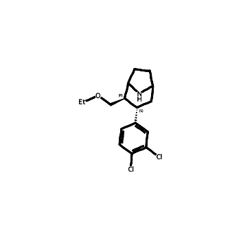 CCOC[C@H]1C2CCC(C[C@@H]1c1ccc(Cl)c(Cl)c1)N2